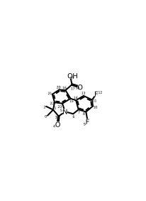 CC1(C)C(=O)N2Cc3c(F)cc(F)cc3-c3c(C(=O)O)ccc1c32